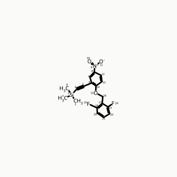 C[Si](C)(C)C#Cc1cc([N+](=O)[O-])ccc1OCc1c(F)cccc1F